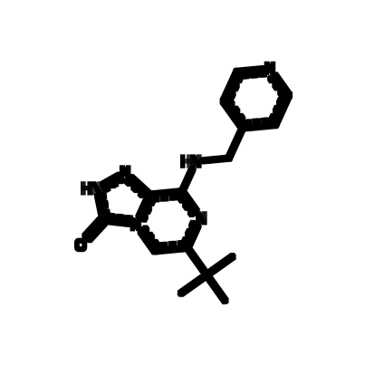 CC(C)(C)c1cn2c(=O)[nH]nc2c(NCc2ccncc2)n1